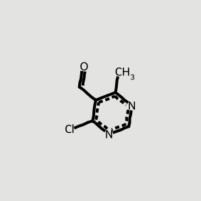 Cc1ncnc(Cl)c1C=O